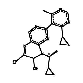 Cc1ncnc(C2CC2)c1-c1ncc2c(n1)N([C@@H](C)C1CC1)C(O)C(Cl)=N2